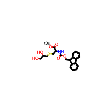 CC(C)(C)OC(=O)C(CSC[C@@H](O)CO)NC(=O)OCC1c2ccccc2-c2ccccc21